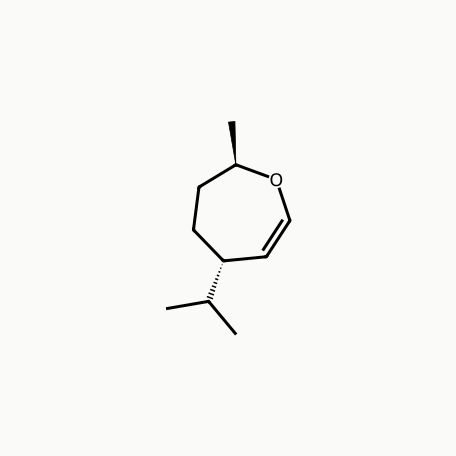 CC(C)[C@H]1C=CO[C@H](C)CC1